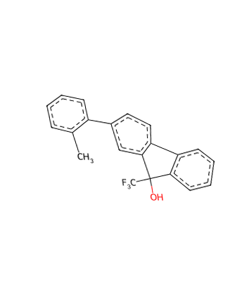 Cc1ccccc1-c1ccc2c(c1)C(O)(C(F)(F)F)c1ccccc1-2